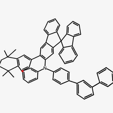 CC1(C)CCC(C)(C)c2cc(-c3cc4c(cc3N(c3ccccc3)c3ccc(-c5cccc(-c6ccccc6)c5)cc3)C3(c5ccccc5-c5ccccc53)c3ccccc3-4)ccc21